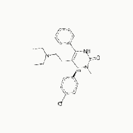 CCN(CC)CCC1=C(c2ccccc2)NC(=O)N(C)[C@H]1c1ccc(Cl)cc1